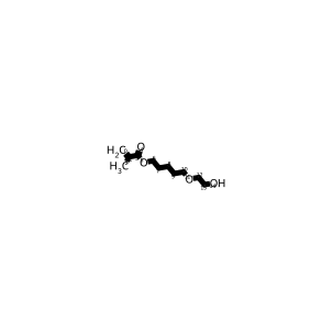 C=C(C)C(=O)OCCCCCOCCO